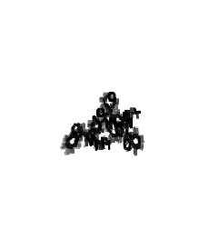 CCCn1nc(-c2coc3ccccc23)c2cnc(C(C(=O)C(c3cc4c(cn3)c(-c3coc5ccccc35)nn4CCC)N3CCCOCC3)N3CCCOCC3)cc21